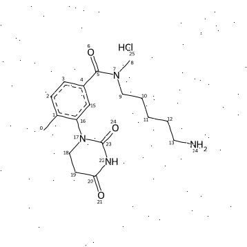 Cc1ccc(C(=O)N(C)CCCCCN)cc1N1CCC(=O)NC1=O.Cl